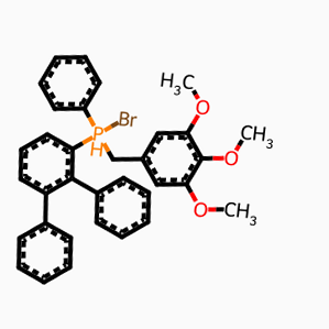 COc1cc(C[PH](Br)(c2ccccc2)c2cccc(-c3ccccc3)c2-c2ccccc2)cc(OC)c1OC